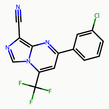 N#Cc1ncn2c(C(F)(F)F)cc(-c3cccc(Cl)c3)nc12